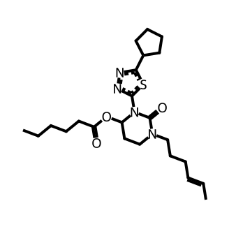 CC=CCCCN1CCC(OC(=O)CCCCC)N(c2nnc(C3CCCC3)s2)C1=O